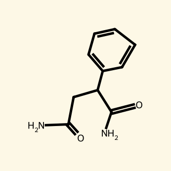 NC(=O)CC(C(N)=O)c1ccccc1